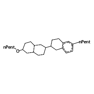 CCCCCOC1CCC2CC(C3CCc4cc(CCCCC)ccc4C3)CCC2C1